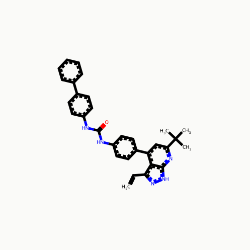 C=Cc1n[nH]c2nc(C(C)(C)C)cc(-c3ccc(NC(=O)Nc4ccc(-c5ccccc5)cc4)cc3)c12